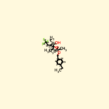 CCc1ccc(CO[Si](C)(C)OC2(CC)C(CC(F)(F)F)[Si]2(C)O)cc1